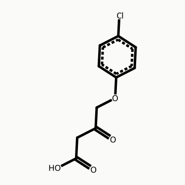 O=C(O)CC(=O)COc1ccc(Cl)cc1